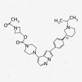 CC(=O)N1CC(OC(=O)N2CCN(c3ccnn4cc(-c5ccc([C@@H]6CCCN(C(C)C)C6)cc5)cc34)CC2)C1